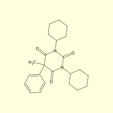 CC1(c2ccccc2)C(=O)N(C2CCCCC2)C(=O)N(C2CCCCC2)C1=O